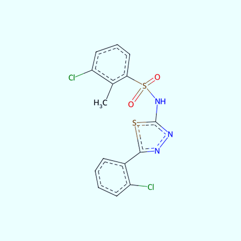 Cc1c(Cl)cccc1S(=O)(=O)Nc1nnc(-c2ccccc2Cl)s1